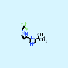 CC(C)c1cncc(-c2ccn(CC(F)(F)F)n2)n1